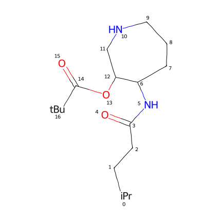 CC(C)CCC(=O)NC1CCCNCC1OC(=O)C(C)(C)C